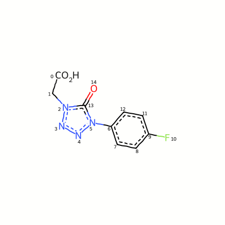 O=C(O)Cn1nnn(-c2ccc(F)cc2)c1=O